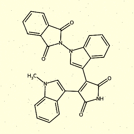 Cn1cc(C2=C(c3cn(N4C(=O)c5ccccc5C4=O)c4ccccc34)C(=O)NC2=O)c2ccccc21